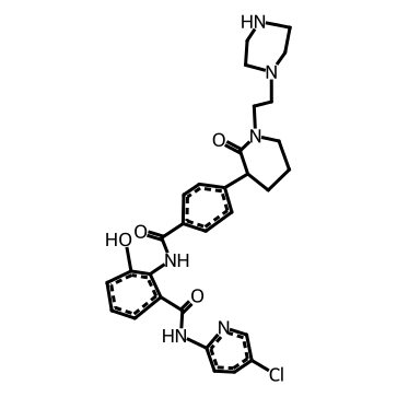 O=C(Nc1c(O)cccc1C(=O)Nc1ccc(Cl)cn1)c1ccc(C2CCCN(CCN3CCNCC3)C2=O)cc1